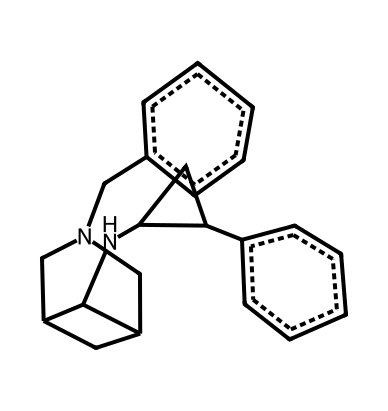 c1ccc(CN2CC3CC(C2)C3NC2CC2c2ccccc2)cc1